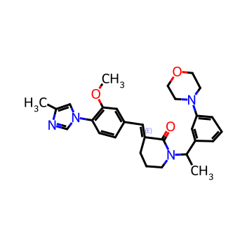 COc1cc(/C=C2\CCCN(C(C)c3cccc(N4CCOCC4)c3)C2=O)ccc1-n1cnc(C)c1